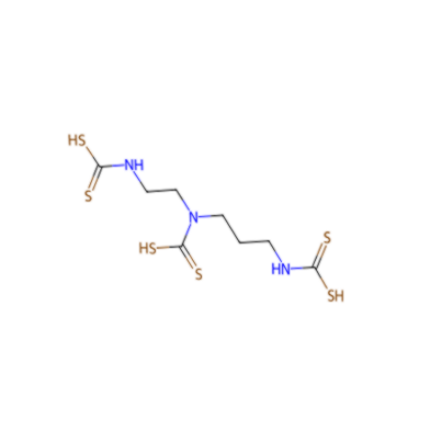 S=C(S)NCCCN(CCNC(=S)S)C(=S)S